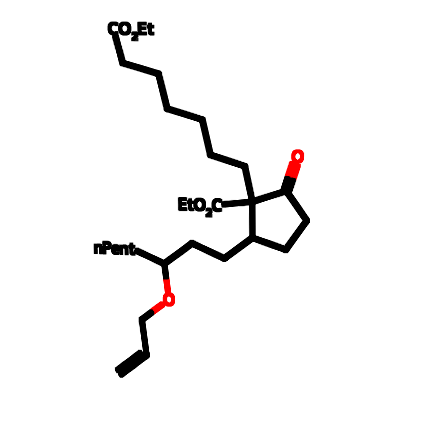 C=CCOC(CCCCC)CCC1CCC(=O)C1(CCCCCCC(=O)OCC)C(=O)OCC